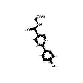 COCNC(=O)c1cnc(-c2ccc(C(F)(F)F)cc2)nc1